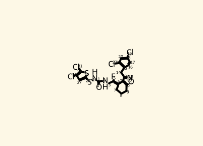 O=C(NC/C(F)=C1\CCCc2onc(Cc3ccc(Cl)cc3Cl)c21)NSc1cc(Cl)c(Cl)s1